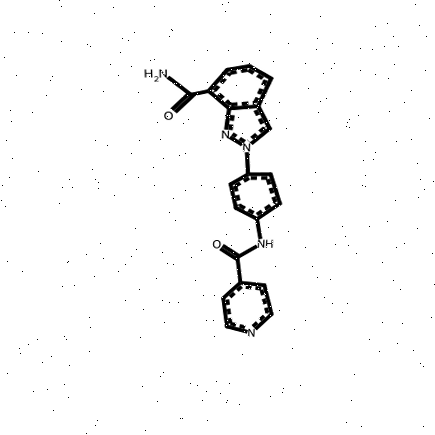 NC(=O)c1cccc2cn(-c3ccc(NC(=O)c4ccncc4)cc3)nc12